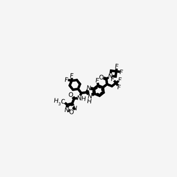 Cc1nonc1C(=O)NC(c1nc2c(F)c(C(CC(F)(F)F)C(=O)N3CC(F)(F)C3)ccc2[nH]1)C1CCC(F)(F)CC1